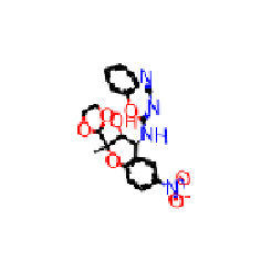 C[C@]1(C2OCCO2)Oc2ccc([N+](=O)[O-])cc2[C@@H](N/C(=N/C#N)Oc2ccccc2)[C@@H]1O